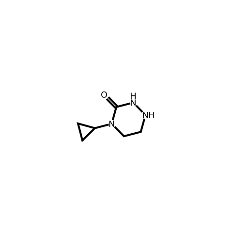 O=C1NNCCN1C1CC1